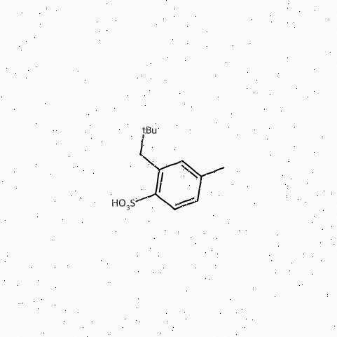 Cc1ccc(S(=O)(=O)O)c(CC(C)(C)C)c1